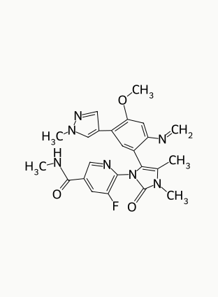 C=Nc1cc(OC)c(-c2cnn(C)c2)cc1-c1c(C)n(C)c(=O)n1-c1ncc(C(=O)NC)cc1F